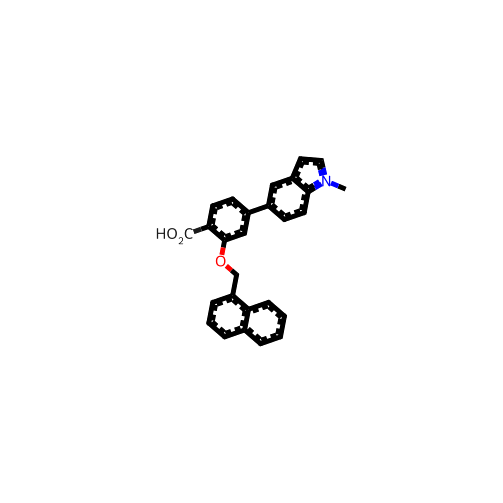 Cn1ccc2cc(-c3ccc(C(=O)O)c(OCc4cccc5ccccc45)c3)ccc21